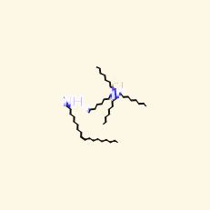 CCCCCCCC/C=C\CCCCCCCCN.CCCCCCCC[N+](CCCCCCCC)(CCCCCCCC)CCCCCCCC.[Br-]